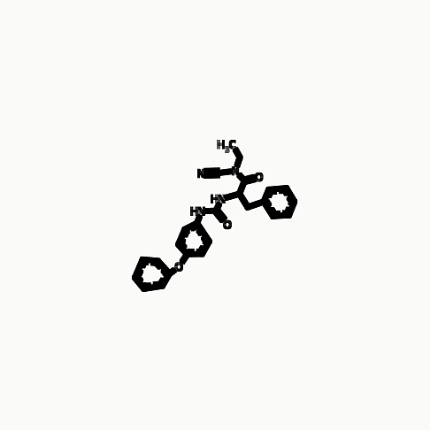 CCN(C#N)C(=O)C(Cc1ccccc1)NC(=O)Nc1ccc(Oc2ccccc2)cc1